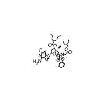 C#C[C@]1(CO[P@@](=O)(N[C@@H](C)C(=O)OCC(CC)CC)Oc2ccccc2)O[C@@H](n2cnc3c(N)nc(F)nc32)C[C@@H]1OC(=O)C(CCC)CCC